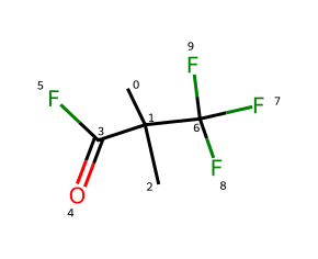 CC(C)(C(=O)F)C(F)(F)F